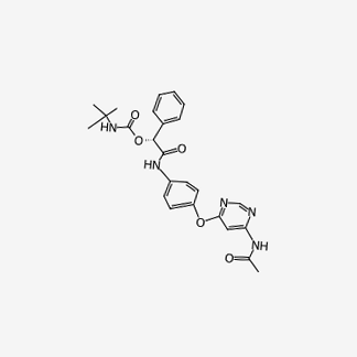 CC(=O)Nc1cc(Oc2ccc(NC(=O)[C@H](OC(=O)NC(C)(C)C)c3ccccc3)cc2)ncn1